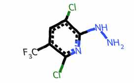 NNc1nc(Cl)c(C(F)(F)F)cc1Cl